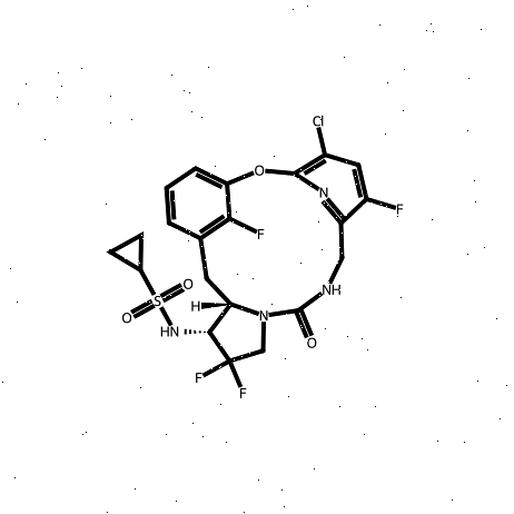 O=C1NCc2nc(c(Cl)cc2F)Oc2cccc(c2F)C[C@H]2[C@@H](NS(=O)(=O)C3CC3)C(F)(F)CN12